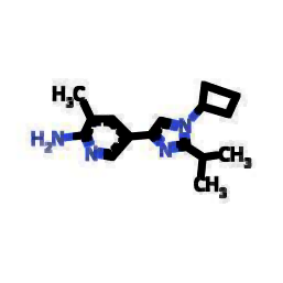 Cc1cc(-c2cn(C3CCC3)c(C(C)C)n2)cnc1N